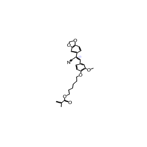 C=C(C)C(=O)OCCCCCCOc1ccc(/C=C(\C#N)c2ccc3c(c2)OCO3)cc1OC